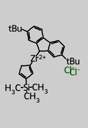 CC(C)(C)c1ccc2c(c1)[CH]([Zr+2][C]1=CC([Si](C)(C)C)=CC1)c1cc(C(C)(C)C)ccc1-2.[Cl-].[Cl-]